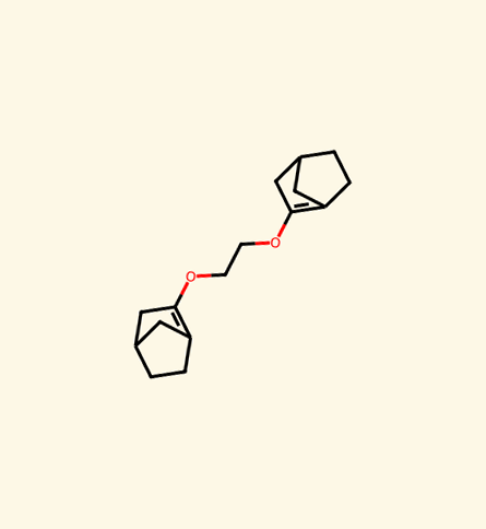 C(COC1=C2CCC(C2)C1)OC1=C2CCC(C2)C1